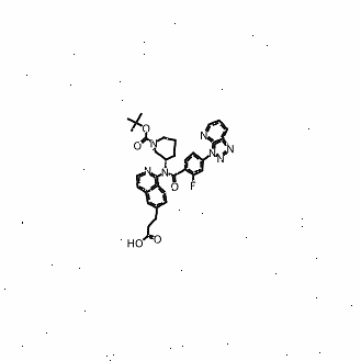 CC(C)(C)OC(=O)N1CCC[C@@H](N(C(=O)c2ccc(-n3nnc4cccnc43)cc2F)c2nccc3cc(CCC(=O)O)ccc23)C1